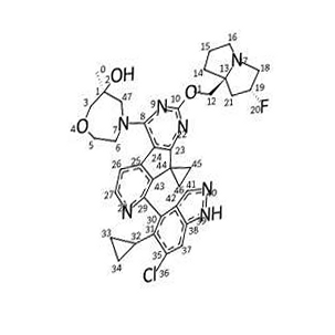 C[C@@]1(O)COCCN(c2nc(OC[C@@]34CCCN3C[C@H](F)C4)nc3c2-c2ccnc(-c4c(C5CC5)c(Cl)cc5[nH]ncc45)c2C32CC2)C1